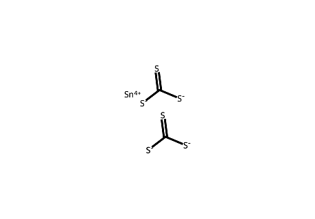 S=C([S-])[S-].S=C([S-])[S-].[Sn+4]